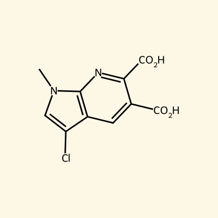 Cn1cc(Cl)c2cc(C(=O)O)c(C(=O)O)nc21